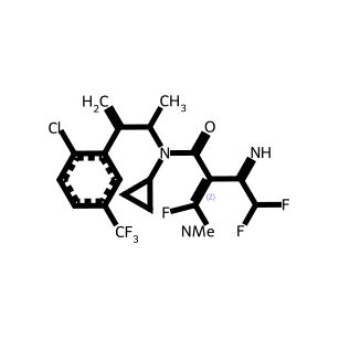 C=C(c1cc(C(F)(F)F)ccc1Cl)C(C)N(C(=O)/C(C(=N)C(F)F)=C(\F)NC)C1CC1